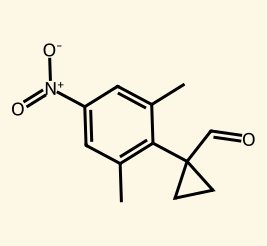 Cc1cc([N+](=O)[O-])cc(C)c1C1(C=O)CC1